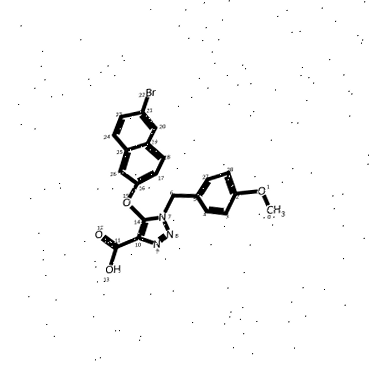 COc1ccc(Cn2nnc(C(=O)O)c2Oc2ccc3cc(Br)ccc3c2)cc1